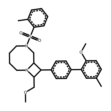 COCC1C(c2ccc(-c3cc(C)ccc3OC)cc2)C2CN(S(=O)(=O)c3ccccc3C)CCCCN12